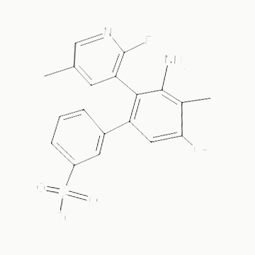 CCS(=O)(=O)c1cccc(-c2cc(C(F)(F)F)c(C)c(N)c2-c2cc(C)cnc2F)c1